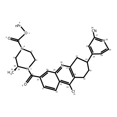 CCCOC(=O)N1CCN(C(=O)c2ccc3c(Cl)c4c(nc3c2)CC(c2ccnc(C#N)c2)CC4)[C@@H](C)C1